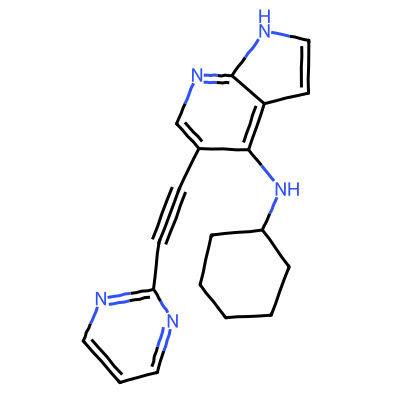 C(#Cc1cnc2[nH]ccc2c1NC1CCCCC1)c1ncccn1